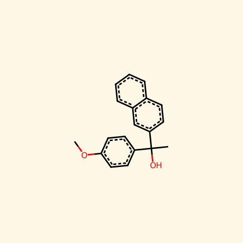 COc1ccc(C(C)(O)c2ccc3ccccc3c2)cc1